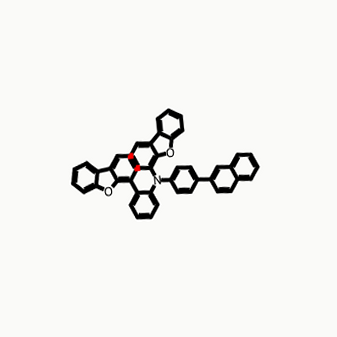 c1ccc(N(c2ccc(-c3ccc4ccccc4c3)cc2)c2cccc3c2oc2ccccc23)c(-c2cccc3c2oc2ccccc23)c1